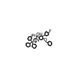 CC(C)C(O)(c1ccc(OCc2ccccc2)c(-c2ccc(F)cc2)c1)c1cn(C(c2ccccc2)(c2ccccc2)c2ccccc2)cn1